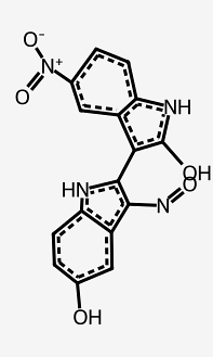 O=Nc1c(-c2c(O)[nH]c3ccc([N+](=O)[O-])cc23)[nH]c2ccc(O)cc12